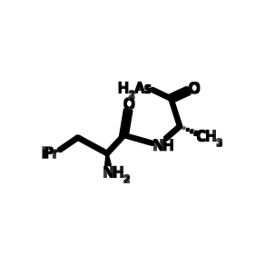 CC(C)C[C@H](N)C(=O)N[C@@H](C)C(=O)[AsH2]